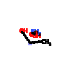 CCCCCCCC/C=C\CCCCCCCCO.NC(=O)C(=O)O